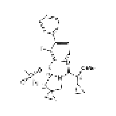 CO[C@H](C(=O)N1CC2(CC2)[C@H](NS(C)(=O)=O)[C@@H]1Cc1cccc(-c2ccccc2)c1F)C1CC1